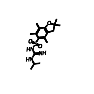 Cc1c(C)c(S(=O)(=O)NC(=N)NC(C)C)c(C)c2c1OC(C)(C)C2